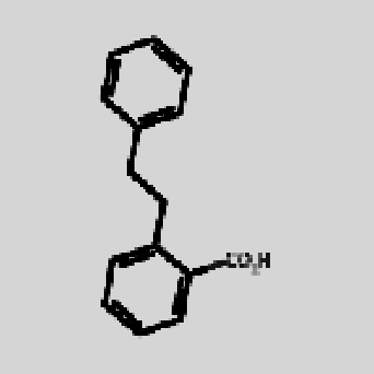 O=C(O)c1ccccc1CCc1c[c]ccc1